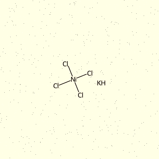 [Cl][Ni]([Cl])([Cl])[Cl].[KH]